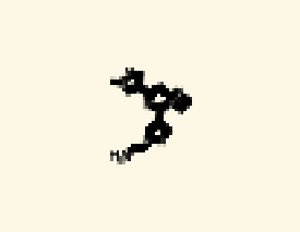 Cn1cc(-c2cc3nccn3c(-c3cnn(CCN)c3)n2)cn1